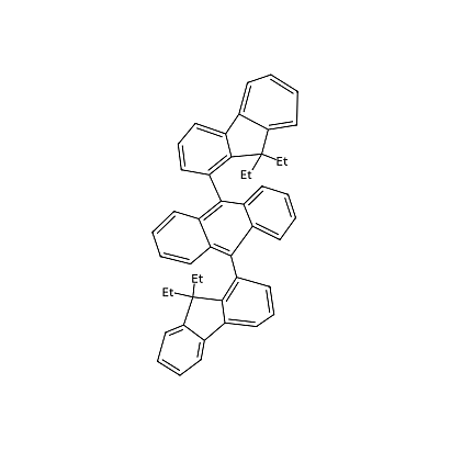 CCC1(CC)c2ccccc2-c2cccc(-c3c4ccccc4c(-c4cccc5c4C(CC)(CC)c4ccccc4-5)c4ccccc34)c21